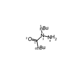 CCCCC(=O)N(N)CCCC